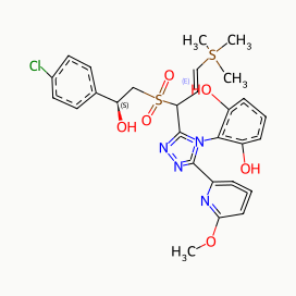 COC1=NC(c2nnc(C(/C=C/S(C)(C)C)S(=O)(=O)C[C@@H](O)c3ccc(Cl)cc3)n2-c2c(O)cccc2O)=C=C=C1